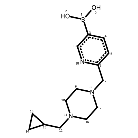 OB(O)c1ccc(CN2CCN(CC3CC3)CC2)nc1